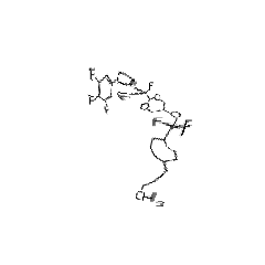 CCCC1CCC(C(F)(F)OC2COC(C(F)(F)Oc3cc(F)c(F)c(F)c3)OC2)CC1